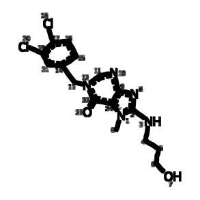 Cn1c(NCCCO)nc2ncn(Cc3ccc(Cl)c(Cl)c3)c(=O)c21